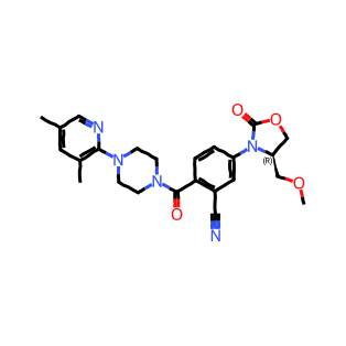 COC[C@@H]1COC(=O)N1c1ccc(C(=O)N2CCN(c3ncc(C)cc3C)CC2)c(C#N)c1